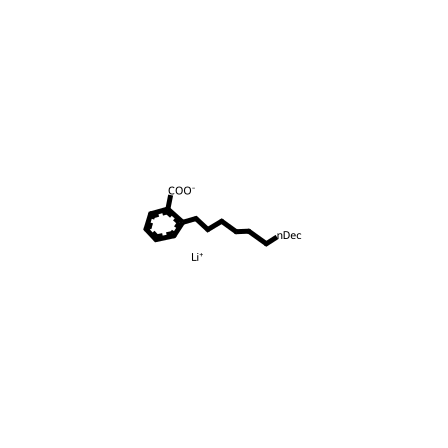 CCCCCCCCCCCCCCCCc1ccccc1C(=O)[O-].[Li+]